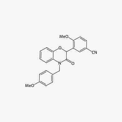 COc1ccc(CN2C(=O)C(c3cc(C#N)ccc3OC)Oc3ccccc32)cc1